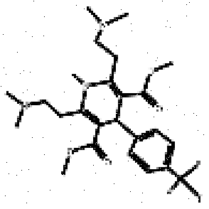 COC(=O)C1=C(CCN(C)C)N(C)C(CCN(C)C)=C(C(=O)OC)C1c1ccc(C(F)(F)F)cc1